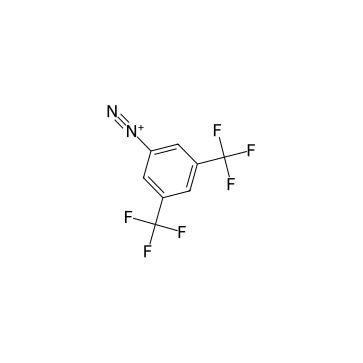 N#[N+]c1cc(C(F)(F)F)cc(C(F)(F)F)c1